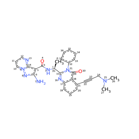 C[C@H](NC(=O)c1c(N)nn2cccnc12)c1nc2cccc(C#CCN(C)C)c2c(=O)n1-c1ccccc1